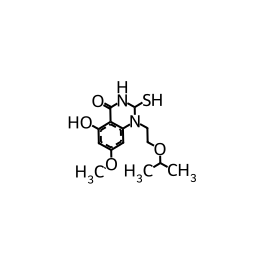 COc1cc(O)c2c(c1)N(CCOC(C)C)C(S)NC2=O